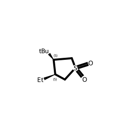 CC[C@@H]1CS(=O)(=O)C[C@@H]1C(C)(C)C